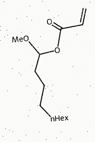 C=CC(=O)OC(CCCCCCCCC)OC